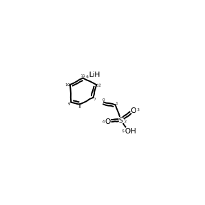 C=CS(=O)(=O)O.[LiH].c1ccccc1